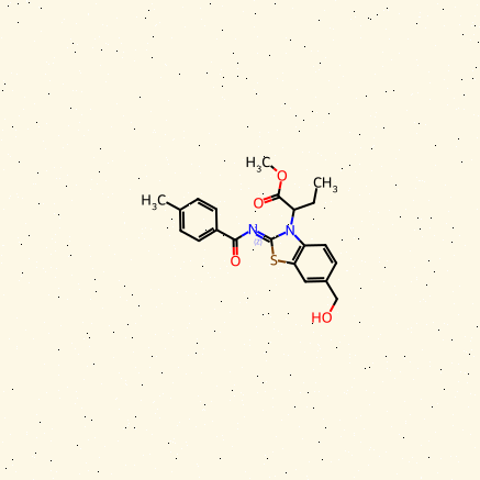 CCC(C(=O)OC)n1/c(=N/C(=O)c2ccc(C)cc2)sc2cc(CO)ccc21